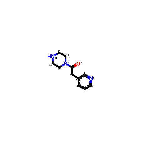 O=C(Cc1cccnc1)N1CCNCC1